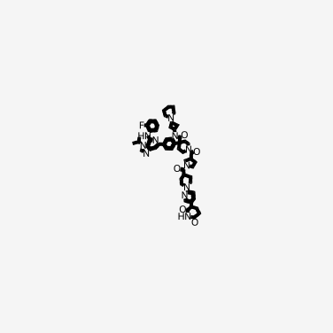 CC(C)n1cnc2cc(-c3ccc4c(c3)N(C3CC(N5CCCCC5)C3)C(=O)C43CCN(C(=O)C4CCN(C(=O)C5CCN(c6ccc(C7CCC(=O)NC7=O)cn6)CC5)C4)CC3)nc(Nc3ccccc3F)c21